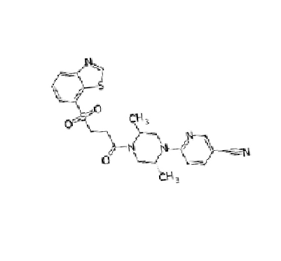 CC1CN(c2ccc(C#N)cn2)[C@H](C)CN1C(=O)CCS(=O)(=O)c1cccc2ncsc12